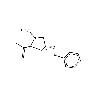 C=C(C)[C@@H]1C[C@@H](OCc2ccccc2)CN1C(=O)O